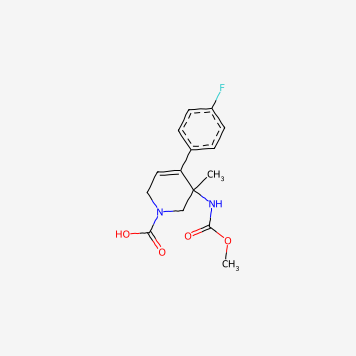 COC(=O)NC1(C)CN(C(=O)O)CC=C1c1ccc(F)cc1